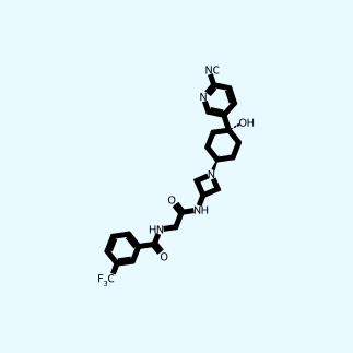 [C-]#[N+]c1ccc([C@]2(O)CC[C@H](N3CC(NC(=O)CNC(=O)c4cccc(C(F)(F)F)c4)C3)CC2)cn1